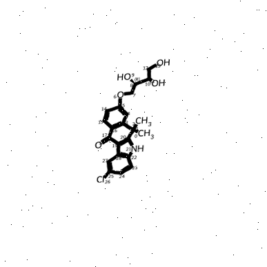 CC1(C)c2cc(OC[C@@H](O)C(O)CO)ccc2C(=O)c2c1[nH]c1ccc(Cl)cc21